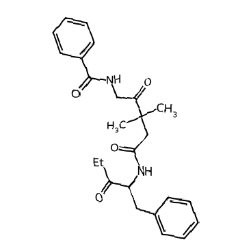 CCC(=O)C(Cc1ccccc1)NC(=O)CC(C)(C)C(=O)CNC(=O)c1ccccc1